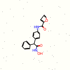 O=C(Nc1ccc(C(C(=O)NO)c2ccccc2)cc1)c1ccco1